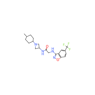 CC1CCC(N2CC(NC(=O)CNc3noc4ccc(C(F)(F)F)cc34)C2)CC1